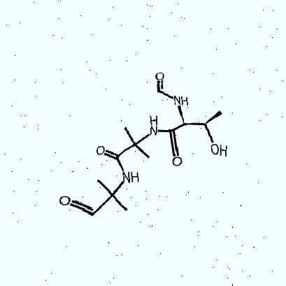 C[C@@H](O)[C@H](NC=O)C(=O)NC(C)(C)C(=O)NC(C)(C)C=O